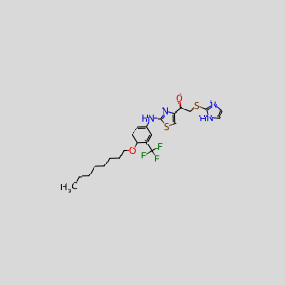 CCCCCCCCOC1CC=C(Nc2nc(C(=O)CSc3ncc[nH]3)cs2)C=C1C(F)(F)F